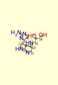 Nc1nccc(-c2c[nH]c3nccc(NCC(O)CO)c23)n1